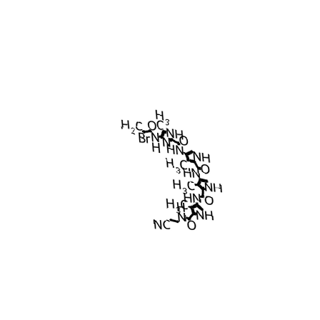 C=C(Br)C(=O)Nc1nc(C(=O)Nc2c[nH]c(C(=O)Nc3c[nH]c(C(=O)Nc4c[nH]c(C(=O)NCCC#N)c4C)c3C)c2C)[nH]c1C